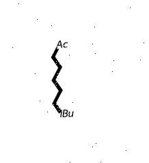 CCC(C)CCCCCC(C)=O